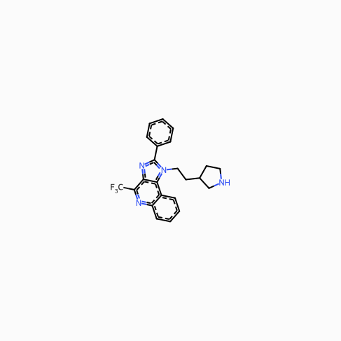 FC(F)(F)c1nc2ccccc2c2c1nc(-c1ccccc1)n2CCC1CCNC1